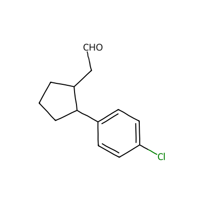 O=CCC1CCCC1c1ccc(Cl)cc1